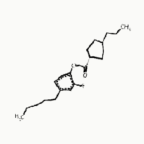 CCCCCc1ccc(OC(=O)[C@H]2CC[C@H](CCC)CC2)c(F)c1